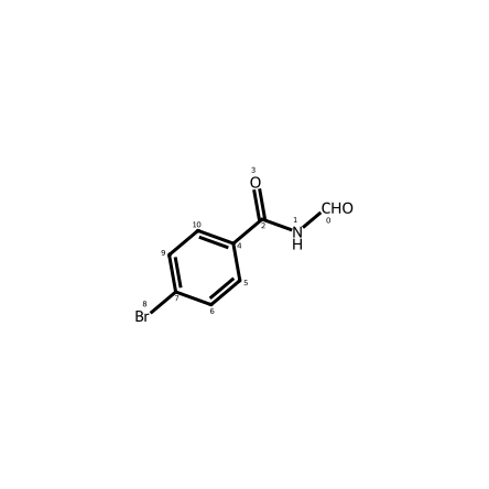 O=CNC(=O)c1ccc(Br)cc1